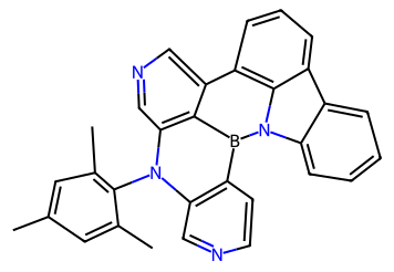 Cc1cc(C)c(N2c3cnccc3B3c4c(cncc42)-c2cccc4c5ccccc5n3c24)c(C)c1